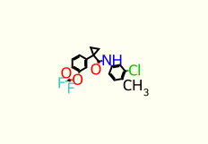 Cc1ccc(NC(=O)C2(c3ccc4c(c3)OC(F)(F)O4)CC2)cc1Cl